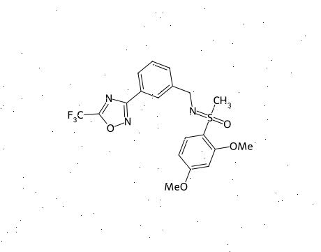 COc1ccc(S(C)(=O)=NCc2cccc(-c3noc(C(F)(F)F)n3)c2)c(OC)c1